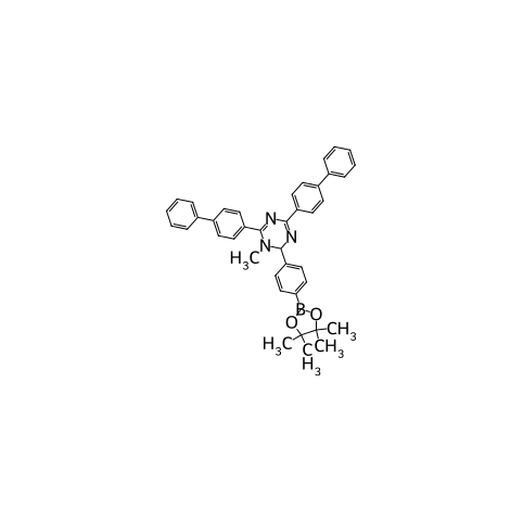 CN1C(c2ccc(-c3ccccc3)cc2)=NC(c2ccc(-c3ccccc3)cc2)=NC1c1ccc(B2OC(C)(C)C(C)(C)O2)cc1